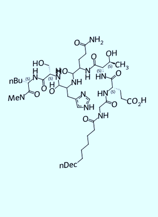 CCCCCCCCCCCCCCCC(=O)NCC(=O)N[C@@H](CCC(=O)O)C(=O)N[C@H](C(=O)NC(CCC(N)=O)C(O)NC(Cc1c[nH]cn1)C(O)N[C@@H](CO)C(=O)N[C@@H](CCCC)C(=O)NC)[C@H](C)O